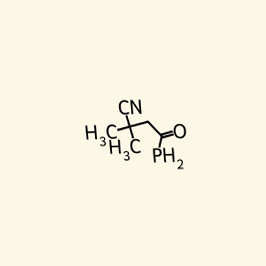 CC(C)(C#N)CC(=O)P